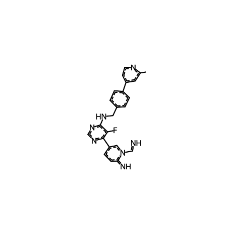 Cc1cc(-c2ccc(CNc3ncnc(-c4ccc(=N)n(C=N)c4)c3F)cc2)ccn1